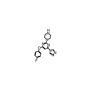 Fc1ccc(Oc2cc(-n3cnnc3)nc(N3CCNCC3)n2)cc1